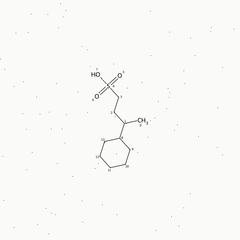 C[C](CCS(=O)(=O)O)C1CCCCC1